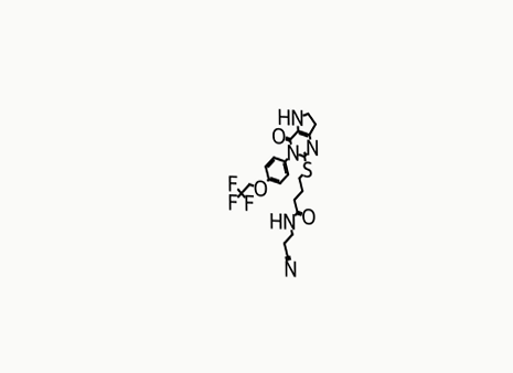 N#CCCNC(=O)CCCSc1nc2c(c(=O)n1-c1ccc(OCC(F)(F)F)cc1)NCC2